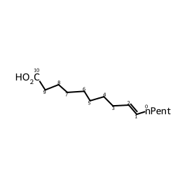 CCCCC/C=C/CCCCCCCC(=O)O